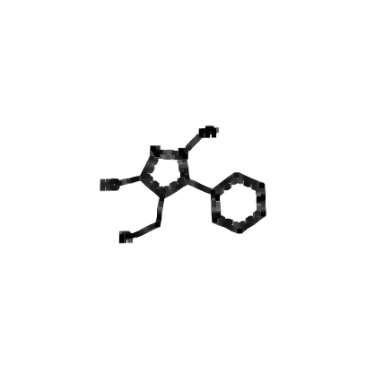 CCCn1nc(O)c(CC(C)C)c1-c1ccccc1